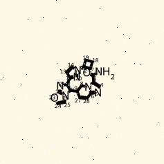 NC(=O)c1cnc2n1CC(C1C(c3ccn(C4CCC4)n3)N=C3OC=CN31)C=C2